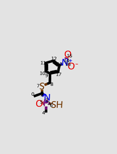 CC(=NP(C)(=O)S)SCc1cccc([N+](=O)[O-])c1